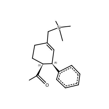 CC(=O)[C@H]1CCC(C[Si](C)(C)C)=C[C@H]1c1ccccc1